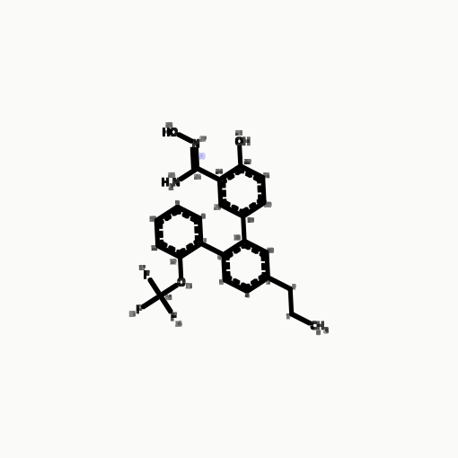 CCCc1ccc(-c2ccccc2OC(F)(F)F)c(-c2ccc(O)c(/C(N)=N/O)c2)c1